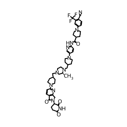 C[C@H]1CN(CC2CCN(c3ccc4c(n3)CN(C3CCC(=O)NC3=O)C4=O)CC2)CCN1CC1CCN(c2ccc(NC(=O)C3CCN(c4ccc(C#N)c(C(F)(F)F)c4)CC3)nc2)CC1